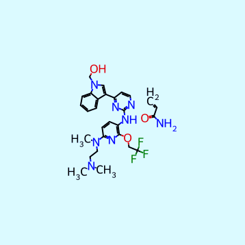 C=CC(N)=O.CN(C)CCN(C)c1ccc(Nc2nccc(-c3cn(CO)c4ccccc34)n2)c(OCC(F)(F)F)n1